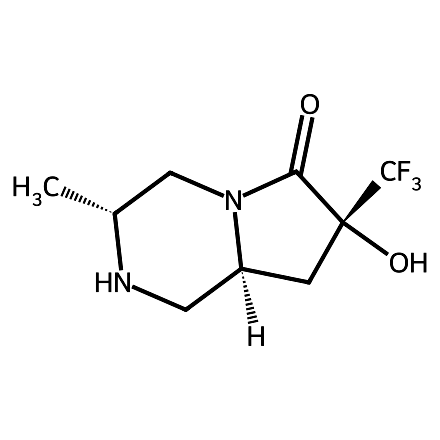 C[C@@H]1CN2C(=O)[C@@](O)(C(F)(F)F)C[C@H]2CN1